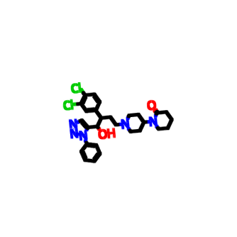 O=C1CCCCN1C1CCN(CCC(c2ccc(Cl)c(Cl)c2)C(O)c2cnnn2-c2ccccc2)CC1